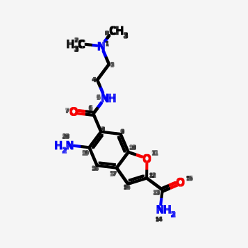 CN(C)CCNC(=O)c1cc2oc(C(N)=O)cc2cc1N